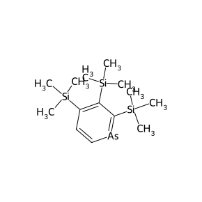 C[Si](C)(C)C1=[As]C=CC([Si](C)(C)C)=C1[Si](C)(C)C